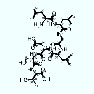 CC(C)C[C@H](NC(=O)CNC(=O)[C@H](CC(C)C)NC(=O)[C@@H](N)CC(C)C)C(=O)N[C@@H](CC(=O)O)C(=O)N[C@@H](CO)C(=O)N[C@H](C(=O)O)[C@@H](C)O